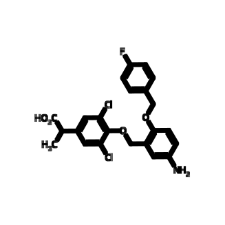 CC(C(=O)O)c1cc(Cl)c(OCc2cc(N)ccc2OCc2ccc(F)cc2)c(Cl)c1